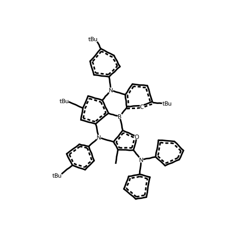 Cc1c(N(c2ccccc2)c2ccccc2)oc2c1N(c1ccc(C(C)(C)C)cc1)c1cc(C(C)(C)C)cc3c1B2c1cc(C(C)(C)C)ccc1N3c1ccc(C(C)(C)C)cc1